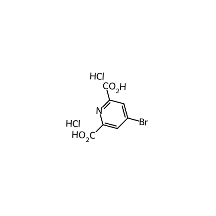 Cl.Cl.O=C(O)c1cc(Br)cc(C(=O)O)n1